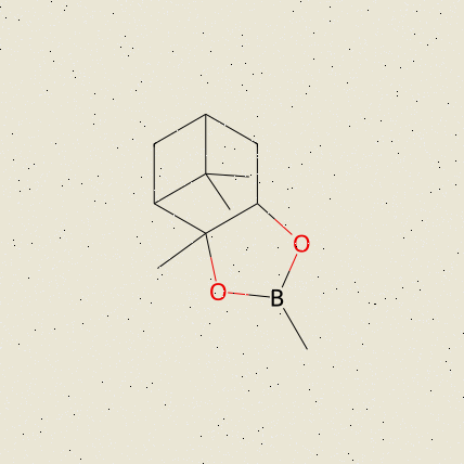 CB1OC2CC3CC(C3(C)C)C2(C)O1